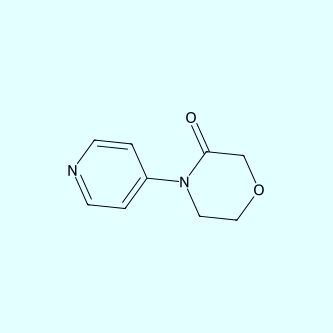 O=C1COCCN1c1ccncc1